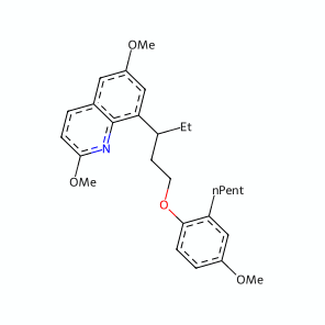 CCCCCc1cc(OC)ccc1OCCC(CC)c1cc(OC)cc2ccc(OC)nc12